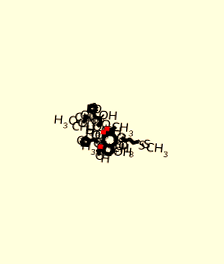 CSSCCCC(=O)O[C@H]1C(=O)[C@@]2(C)[C@H]([C@H](OC(=O)c3ccoc3)[C@]3(O)C[C@H](OC(=O)[C@H](O)[C@@H](NC(=O)OC(C)(C)C)c4ccco4)C(C)=C1C3(C)C)[C@]1(C)CO[C@@H]1C[C@@H]2O